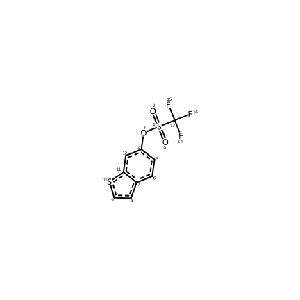 O=S(=O)(Oc1ccc2ccsc2c1)C(F)(F)F